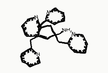 NC(C=C(Cc1ccccn1)Cc1ccccn1)(Cc1ccccn1)Cc1ccccn1